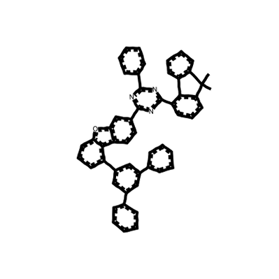 CC1(C)c2ccccc2-c2c(-c3nc(-c4ccccc4)nc(-c4ccc5c(c4)oc4cccc(-c6cc(-c7ccccc7)cc(-c7ccccc7)c6)c45)n3)cccc21